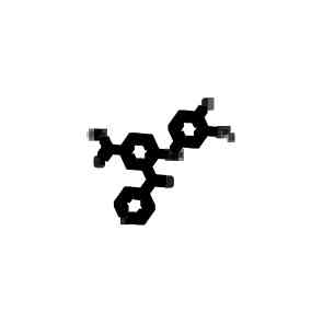 [NH]C(=O)c1ccc(Nc2ccc(Cl)c(C(F)(F)F)c2)c(C(=O)c2ccncc2)c1